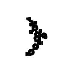 COCCS(=O)(=O)c1ccc(-c2cc3cnc(Nc4ccc(C5=CCNCC5)cc4)nc3n(C3CCOC3)c2=O)c(Cl)c1